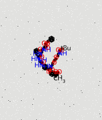 Cc1cc(=O)oc2cc(OC(C(=O)NCCOCCOCCNC(=O)OC(C)(C)C)c3ccc(NC(=O)CNN[C@@H](Cc4ccccc4)C(=O)NCC(=O)NCC(=O)C(=O)OCc4ccccc4)cc3)ccc12